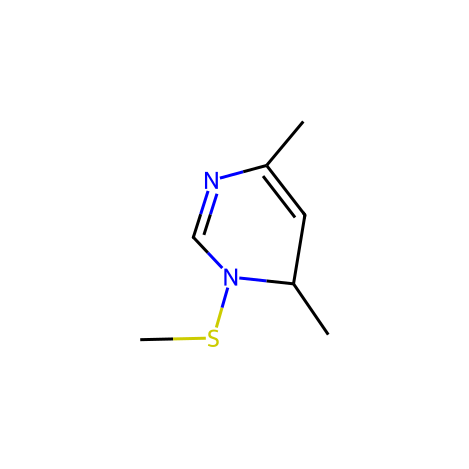 CSN1C=NC(C)=CC1C